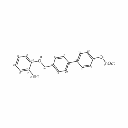 CCCCCCCCOc1ccc(-c2ccc(COc3ccccc3CCC)cc2)cc1